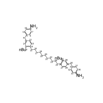 CCCCc1cc(Cc2ccc(N)cc2)ccc1CCCCCCCCCCCc1ccc(Cc2ccc(N)cc2)cc1CCCC